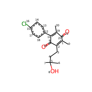 CC1=C(CCC(C)(C)O)C(=O)C(c2ccc(Cl)cc2)=C(C)C1=O